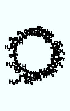 C/C=C/CC(C)C(O)C1C(=O)NC(CC)C(=O)N(C)CC(=O)CN(C)C(CC(C)C)C(=O)NC(C(C)C)C(=O)N(C)C(CC(C)C)C(=O)N(C)C(C)C(=O)NC(C)C(=O)N(C)C(CC(C)C)C(=O)N(C)C(CC(C)C)C(=O)N(C)C(C(C)C)C(=O)N1C